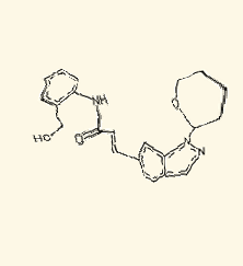 O=C(C=Cc1ccc2cnn(C3CCCCO3)c2c1)Nc1ccccc1CO